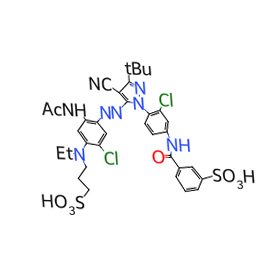 CCN(CCCS(=O)(=O)O)c1cc(NC(C)=O)c(/N=N/c2c(C#N)c(C(C)(C)C)nn2-c2ccc(NC(=O)c3cccc(S(=O)(=O)O)c3)cc2Cl)cc1Cl